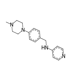 CN1CCN(c2ccc(CNc3ccncc3)cc2)CC1